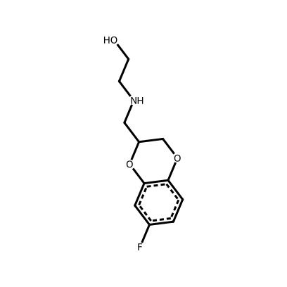 OCCNCC1COc2ccc(F)cc2O1